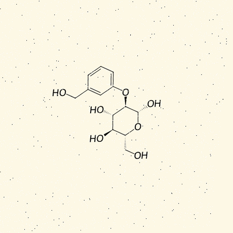 OCc1cccc(O[C@@H]2[C@@H](O)[C@H](O)[C@@H](CO)O[C@H]2O)c1